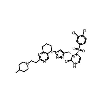 CC1CCN(CCc2ncc3c(n2)CCC[C@H]3n2cc(C[C@H]3C(=O)NC=CN3S(=O)(=O)c3ccc(Cl)c(Cl)c3)nn2)CC1